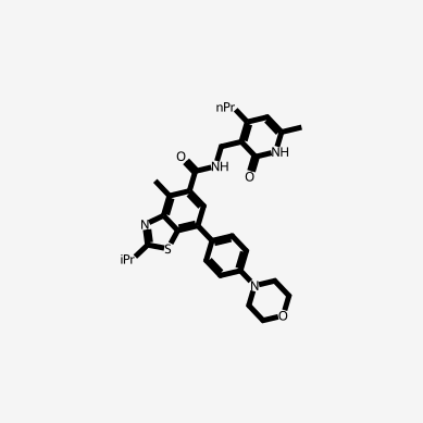 CCCc1cc(C)[nH]c(=O)c1CNC(=O)c1cc(-c2ccc(N3CCOCC3)cc2)c2sc(C(C)C)nc2c1C